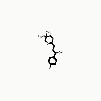 CC1(C)COC(CCC(O)c2ccc(F)cc2)OC1